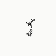 c1ccc(-c2nc(-c3ccc(-c4ccc5sc6c(ccc7c(-c8ccccc8)nc8ccccc8c76)c5c4)cc3)nc(-c3ccc4c(c3)sc3ccccc34)n2)cc1